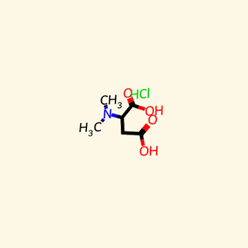 CN(C)C(CC(=O)O)C(=O)O.Cl